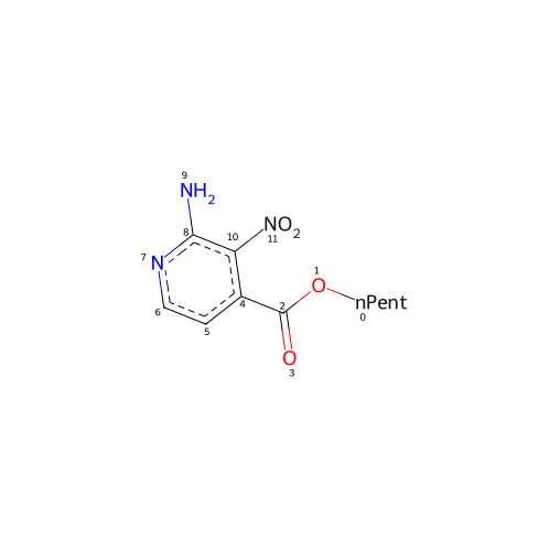 CCCCCOC(=O)c1ccnc(N)c1[N+](=O)[O-]